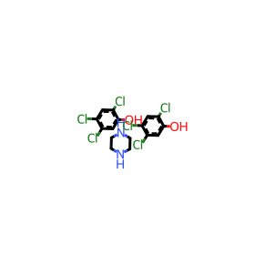 C1CNCCN1.Oc1cc(Cl)c(Cl)cc1Cl.Oc1cc(Cl)c(Cl)cc1Cl